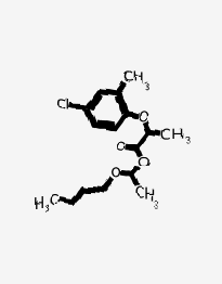 CCCCOC(C)OC(=O)C(C)Oc1ccc(Cl)cc1C